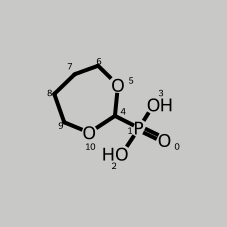 O=P(O)(O)C1OCCCCO1